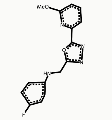 COc1cccc(-c2nnc(CNc3ccc(F)cc3)o2)n1